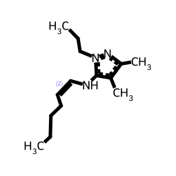 CCCC/C=C\Nc1c(C)c(C)nn1CCC